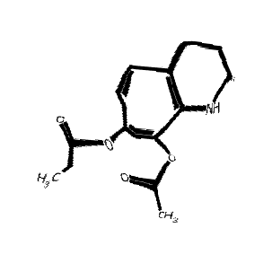 CC(=O)Oc1ccc2c(c1OC(C)=O)N[C]CC2